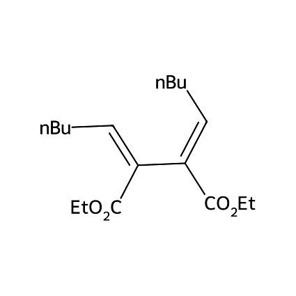 CCCCC=C(C(=O)OCC)C(=CCCCC)C(=O)OCC